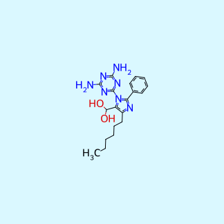 CCCCCCc1nc(-c2ccccc2)n(-c2nc(N)nc(N)n2)c1C(O)O